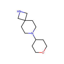 C1CC(N2CCC3(CC2)CNC3)CCO1